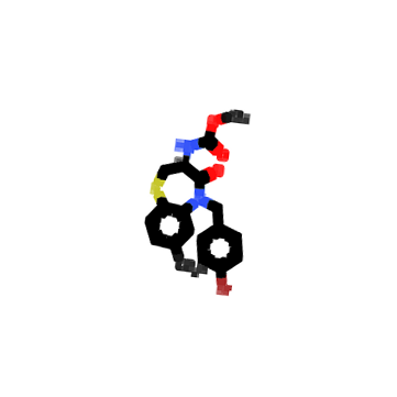 CC(C)(C)OC(=O)N[C@H]1CSc2ccc(C(=O)O)cc2N(Cc2ccc(Br)cc2)C1=O